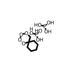 C1CCC2(CC1)COOOO2.OP(O)O.OP(O)O